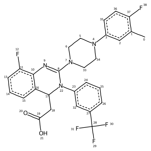 Cc1cc(N2CCN(C3=Nc4c(F)cccc4C(CC(=O)O)N3c3cccc(C(F)(F)F)c3)CC2)ccc1F